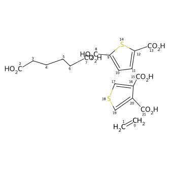 C=C.O=C(O)CCCCC(=O)O.O=C(O)c1ccc(C(=O)O)s1.O=C(O)c1cscc1C(=O)O